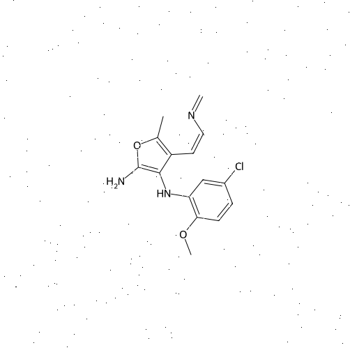 C=N/C=C\c1c(C)oc(N)c1Nc1cc(Cl)ccc1OC